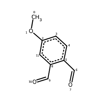 COc1ccc(C=O)c(C=O)c1